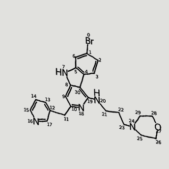 Brc1ccc2c(c1)[nH]c1cc(Cc3cccnc3)nc(NCCCN3CCOCC3)c12